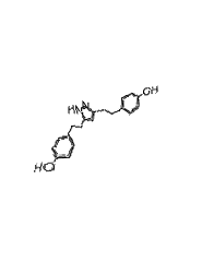 Oc1ccc(CCc2cc(CCc3ccc(O)cc3)[nH]n2)cc1